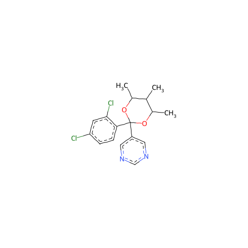 CC1OC(c2cncnc2)(c2ccc(Cl)cc2Cl)OC(C)C1C